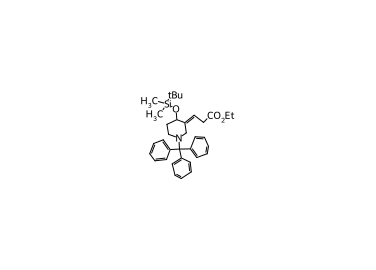 CCOC(=O)CC=C1CN(C(c2ccccc2)(c2ccccc2)c2ccccc2)CCC1O[Si](C)(C)C(C)(C)C